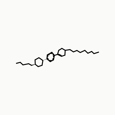 CCCCCCCCCC1CC=C(c2ccc([C@H]3CC[C@H](CCCCC)CC3)cc2)CC1